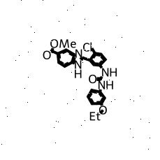 CCOc1cccc(NC(=O)Nc2ccc(Cl)c(-c3nc4cc(C(=O)OC)ccc4[nH]3)c2)c1